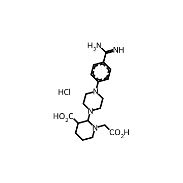 Cl.N=C(N)c1ccc(N2CCN(C3C(C(=O)O)CCCN3CC(=O)O)CC2)cc1